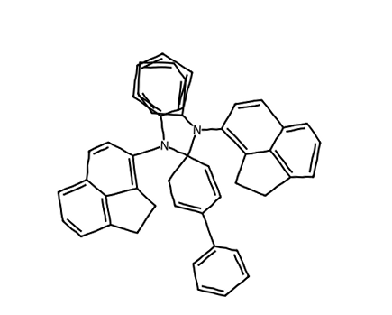 C1=CC(N(c2ccccc2)c2ccc3cccc4c3c2CC4)(N(c2ccccc2)c2ccc3cccc4c3c2CC4)CC=C1c1ccccc1